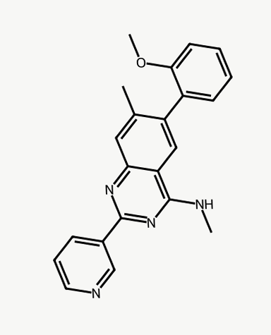 CNc1nc(-c2cccnc2)nc2cc(C)c(-c3ccccc3OC)cc12